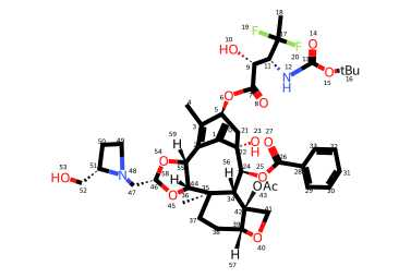 C=C1C2=C(C)[C@@H](OC(=O)[C@H](O)[C@@H](NC(=O)OC(C)(C)C)C(C)(F)F)C[C@@]1(O)[C@@H](OC(=O)c1ccccc1)[C@H]1[C@@](C)(CC[C@H]3OC[C@]31OC(C)=O)[C@@H]1O[C@H](CN3CC[C@H]3CO)O[C@H]21